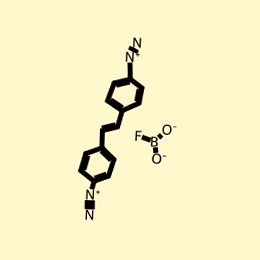 N#[N+]c1ccc(/C=C/c2ccc([N+]#N)cc2)cc1.[O-]B([O-])F